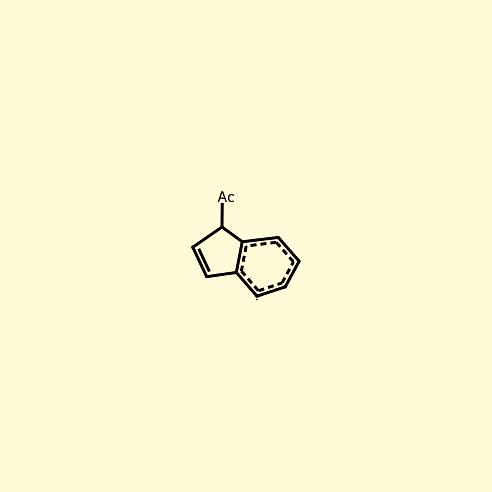 CC(=O)C1C=Cc2[c]cccc21